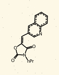 CCCN1C(=O)O/C(=C/c2cnc3ccccc3c2)C1=O